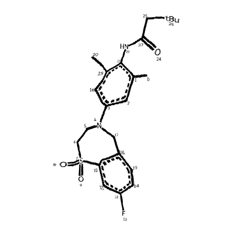 Cc1cc(N2CCS(=O)(=O)c3cc(F)ccc3C2)cc(C)c1NC(=O)CC(C)(C)C